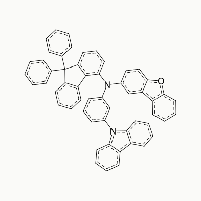 c1ccc(C2(c3ccccc3)c3ccccc3-c3c(N(c4cccc(-n5c6ccccc6c6ccccc65)c4)c4ccc5oc6ccccc6c5c4)cccc32)cc1